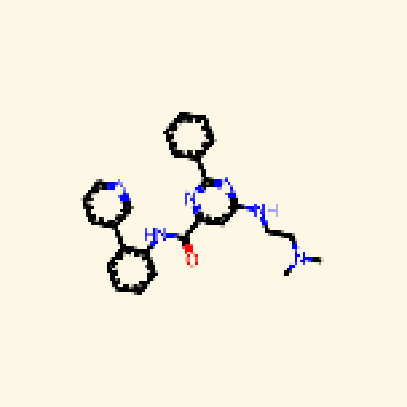 CN(C)CCNc1cc(C(=O)Nc2ccccc2-c2cccnc2)nc(-c2ccccc2)n1